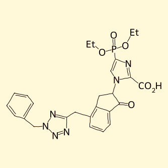 CCOP(=O)(OCC)c1cn(C2Cc3c(Cc4nnn(Cc5ccccc5)n4)cccc3C2=O)c(C(=O)O)n1